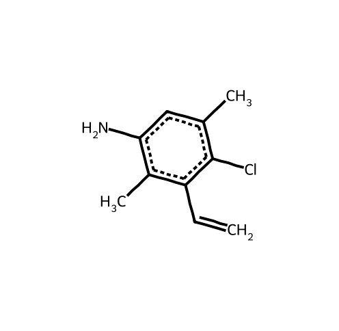 C=Cc1c(C)c(N)cc(C)c1Cl